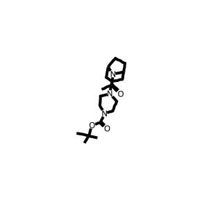 CC(=O)N1C2CCC1CC(N1CCN(C(=O)OC(C)(C)C)CC1)C2